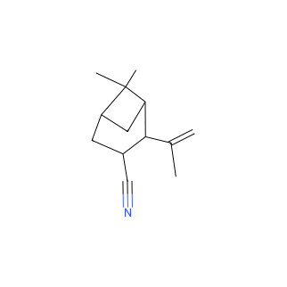 C=C(C)C1C(C#N)CC2CC1C2(C)C